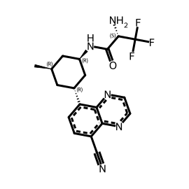 C[C@H]1C[C@@H](NC(=O)[C@H](N)C(F)(F)F)C[C@H](c2ccc(C#N)c3nccnc23)C1